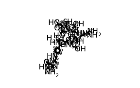 C[C@H](CCC(=O)N[C@H](CC(=O)O)C(=O)N[C@@H](CCCNC(=N)N)C(=O)N[C@@H](CC(=O)O)C(=O)N[C@@H](CC(=O)O)C(=O)N[C@@H](CS)C(=O)O)NC(=O)c1ccc(NCc2cnc3nc(N)[nH]c(=O)c3n2)cc1